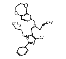 C#CCN(Cc1ccc2c(c1)OCCO2)Cc1c(Cl)nc(-c2ccccc2)n1CCCC